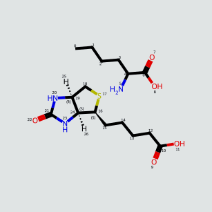 CCCCC(N)C(=O)O.O=C(O)CCCC[C@@H]1SC[C@@H]2NC(=O)N[C@@H]21